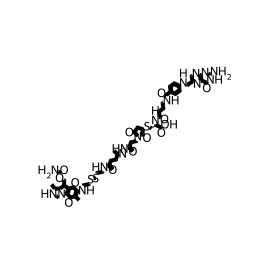 CC1=C(NCCSSCCNC(=O)CC/C(C)=N/NC(=O)CCN2C(=O)CC(SC[C@H](NC(=O)CCCNC(=O)c3ccc(NCc4cnc5nc(N)[nH]c(=O)c5n4)cc3)C(=O)O)C2=O)C(=O)C2=C(C1=O)N1CNC(C)C1C2COC(N)=O